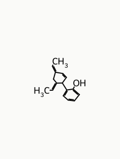 C/C=C1\C=CC(c2ccccc2O)/C(=C/C)C1